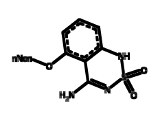 CCCCCCCCCOc1cccc2c1C(N)=NS(=O)(=O)N2